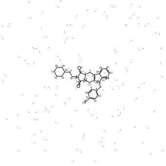 O=C1C2Cc3c(n(Cc4ccc(F)cc4)c4ncccc34)CN2C(=O)N1CCC1CCCCC1